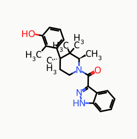 Cc1c(O)cccc1[C@]1(C)CCN(C(=O)c2n[nH]c3ccccc23)[C@H](C)C1(C)C